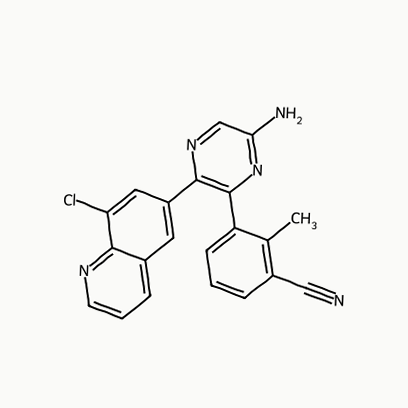 Cc1c(C#N)cccc1-c1nc(N)cnc1-c1cc(Cl)c2ncccc2c1